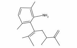 C=C(C)C(C)CC(=C(C)C)c1c(C)ccc(C)c1N